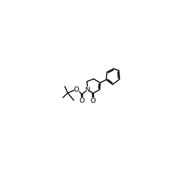 CC(C)(C)OC(=O)N1CCC(c2ccccc2)=CC1=O